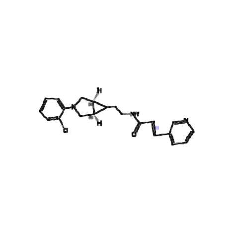 O=C(/C=C/c1cccnc1)NCCC1[C@H]2CN(c3ccccc3Cl)C[C@@H]12